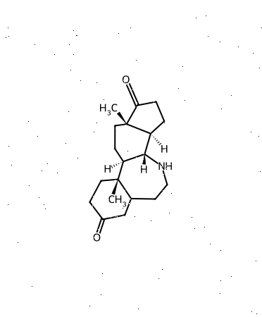 C[C@]12CCC(=O)CC1CCN[C@@H]1[C@@H]2CC[C@]2(C)C(=O)CC[C@@H]12